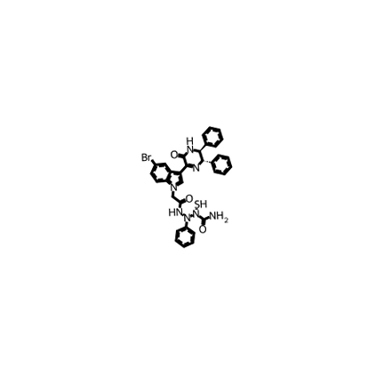 NC(=O)N(S)N(NC(=O)Cn1cc(C2=N[C@@H](c3ccccc3)[C@H](c3ccccc3)NC2=O)c2cc(Br)ccc21)c1ccccc1